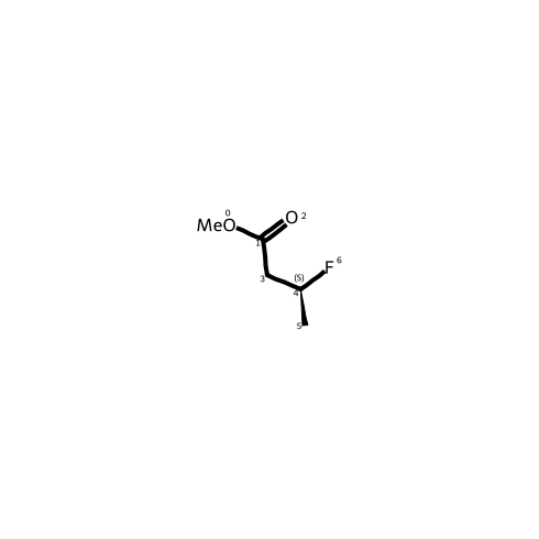 COC(=O)C[C@H](C)F